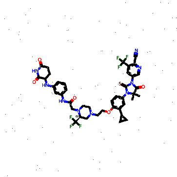 CC1(C)C(=O)N(c2cnc(C#N)c(C(F)(F)F)c2)C(=S)N1c1ccc(OCCN2CCN(CC(=O)Nc3cccc(NC4CCC(=O)NC4=O)c3)[C@H](C(F)(F)F)C2)c(C2CC2)c1